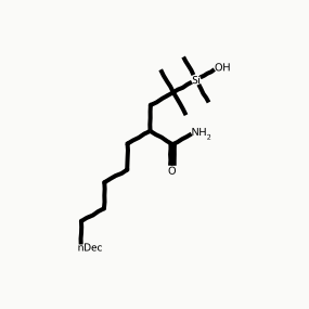 CCCCCCCCCCCCCCCC(CC(C)(C)[Si](C)(C)O)C(N)=O